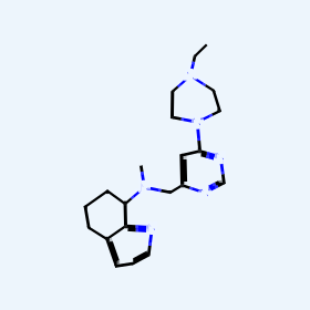 CCN1CCN(c2cc(CN(C)C3CCCc4cccnc43)ncn2)CC1